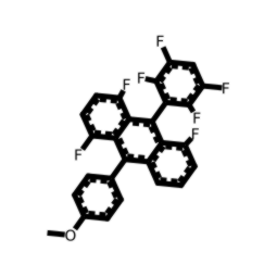 COc1ccc(-c2c3cccc(F)c3c(-c3c(F)c(F)cc(F)c3F)c3c(F)ccc(F)c23)cc1